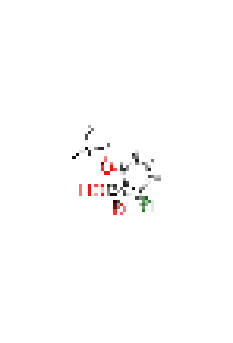 CC(C)COc1cccc(Cl)c1C(=O)O